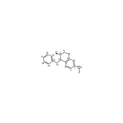 COc1ccc2c(c1)CC[C@H](C)C2Cc1ccccc1